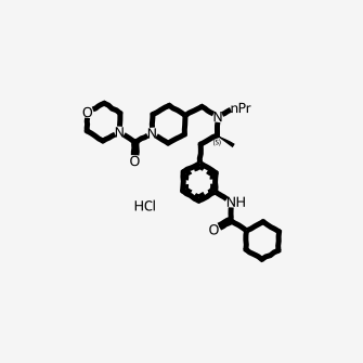 CCCN(CC1CCN(C(=O)N2CCOCC2)CC1)[C@@H](C)Cc1cccc(NC(=O)C2CCCCC2)c1.Cl